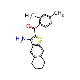 Cc1ccc(C(=O)c2sc3cc4c(cc3c2N)CCCC4)c(C)c1